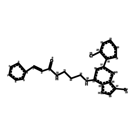 O=C(/C=C/c1ccccc1)NCCCNc1cc(-c2ccccc2Cl)nc2c(Br)cnn12